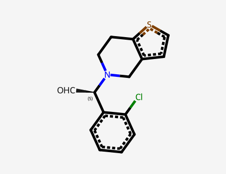 O=C[C@H](c1ccccc1Cl)N1CCc2sccc2C1